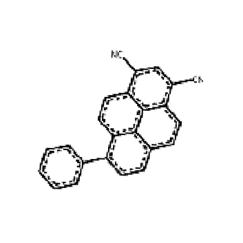 N#Cc1cc(C#N)c2ccc3c(-c4ccccc4)ccc4ccc1c2c43